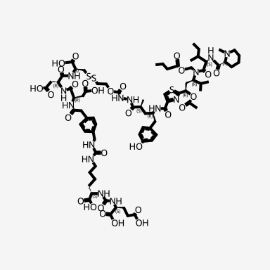 CCCC(=O)OCN(C(=O)[C@@H](NC(=O)[C@H]1CCCCN1C)C(C)CC)[C@H](C[C@@H](OC(C)=O)c1nc(C(=O)N[C@@H](Cc2ccc(O)cc2)C[C@H](C)C(=O)NNC(=O)OCCSSC[C@@H](NC(=O)[C@@H](CC(=O)O)NC(=O)[C@@H](CC(=O)O)NC(=O)Cc2ccc(CNC(=O)NCCCC[C@H](NC(=O)N[C@@H](CCC(=O)O)C(=O)O)C(=O)O)cc2)C(=O)O)cs1)C(C)C